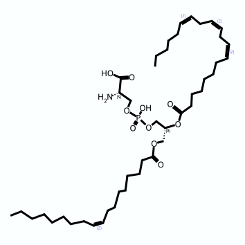 CCCCC/C=C\C/C=C\C/C=C\CCCCCCC(=O)O[C@H](COC(=O)CCCCCCC/C=C\CCCCCCCC)COP(=O)(O)OC[C@H](N)C(=O)O